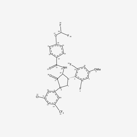 COc1cc(F)c([C@@H]2CN(c3cc(Cl)cc(C(F)(F)F)c3)C(=O)C2NC(=O)c2ccc(OC(F)F)cc2)c(F)c1